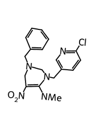 CNC1=C([N+](=O)[O-])CN(Cc2ccccc2)CN1Cc1ccc(Cl)nc1